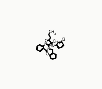 CCCC(=O)C(C)(Nc1cccc(Cl)c1)c1nc2ccccc2c(=O)n1Cc1ccccc1